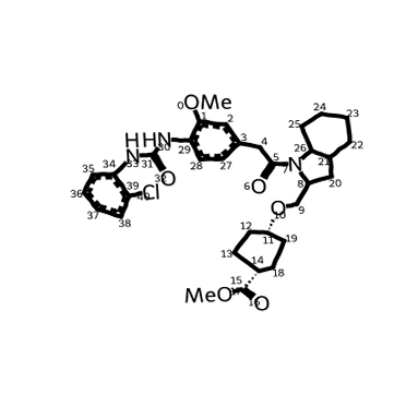 COc1cc(CC(=O)N2C(CO[C@H]3CC[C@@H](C(=O)OC)CC3)CC3CCCCC32)ccc1NC(=O)Nc1ccccc1Cl